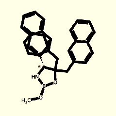 COB1N[C@H](C2CCCCC2)C(Cc2ccc3ccccc3c2)(Cc2ccc3ccccc3c2)O1